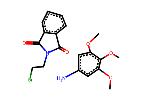 COc1cc(N)cc(OC)c1OC.O=C1c2ccccc2C(=O)N1CCBr